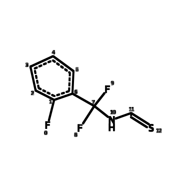 Fc1ccccc1C(F)(F)N[C]=S